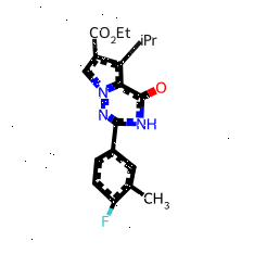 CCOC(=O)c1cn2nc(-c3ccc(F)c(C)c3)[nH]c(=O)c2c1C(C)C